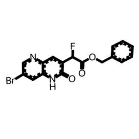 O=C(OCc1ccccc1)C(F)c1cc2ncc(Br)cc2[nH]c1=O